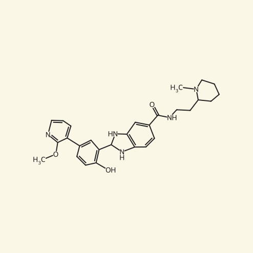 COc1ncccc1-c1ccc(O)c(C2Nc3ccc(C(=O)NCCC4CCCCN4C)cc3N2)c1